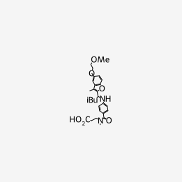 CCC(C)C(Nc1ccc(C(=O)N(C)CCC(=O)O)cc1)c1oc2ccc(OCCOC)cc2c1C